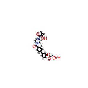 O=C(COO)Oc1cccc(-c2ccc(C(=O)N3CCN(C(=O)C4(O)CC4)CC3)cc2)c1